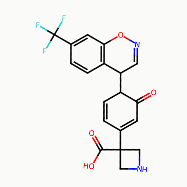 O=C1C=C(C2(C(=O)O)CNC2)C=CC1C1C=NOc2cc(C(F)(F)F)ccc21